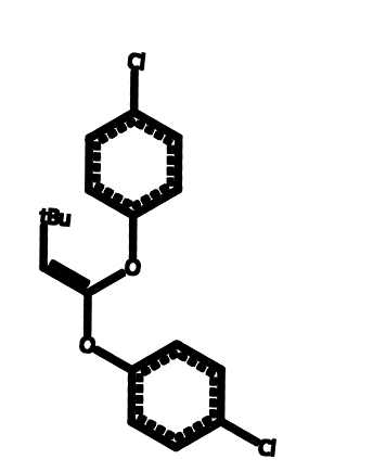 CC(C)(C)C=C(Oc1ccc(Cl)cc1)Oc1ccc(Cl)cc1